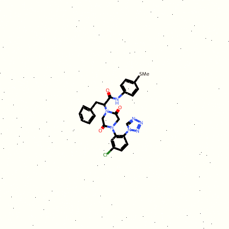 CSc1ccc(NC(=O)C(Cc2ccccc2)N2CC(=O)N(c3cc(Cl)ccc3-n3cnnn3)CC2=O)cc1